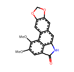 COc1cc2c3c(cc4cc5c(cc4c3c1OC)OCO5)NC2=O